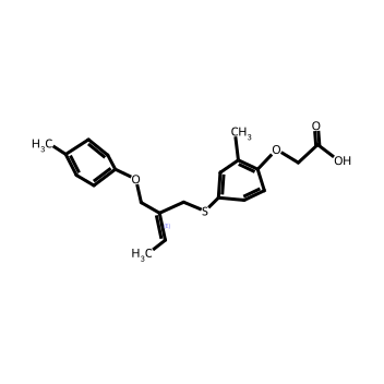 C/C=C(\COc1ccc(C)cc1)CSc1ccc(OCC(=O)O)c(C)c1